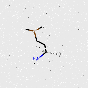 C[S+](C)CC[C@@H](N)C(=O)O